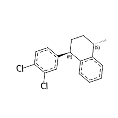 C[C@H]1CC[C@H](c2ccc(Cl)c(Cl)c2)c2ccccc21